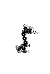 CCN(C(=O)OC)[C@H](C(=O)N1C[C@@H](C)C[C@H]1c1nc2ccc(-c3ccc(-c4ccc5[nH]c([C@@H]6C[C@H](C)CN6C(=O)[C@@H](NC(=O)OC)C(C)C)nc5c4)cc3)cc2[nH]1)C(C)C